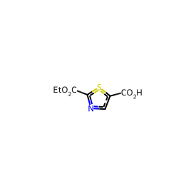 CCOC(=O)c1ncc(C(=O)O)s1